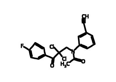 C#Cc1cccc(N(CC(Cl)(Cl)C(=O)c2ccc(F)cc2)C(C)=O)c1